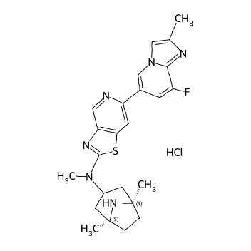 Cc1cn2cc(-c3cc4sc(N(C)C5C[C@]6(C)CC[C@](C)(C5)N6)nc4cn3)cc(F)c2n1.Cl